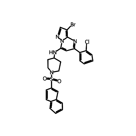 O=S(=O)(c1ccc2ccccc2c1)N1CCC(Nc2cc(-c3ccccc3Cl)nc3c(Br)cnn23)CC1